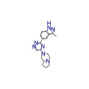 Cc1n[nH]c2ccc(-c3nncc(N4CCN5CCCC5C4)n3)cc12